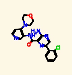 Nc1ncc(-c2ccccc2Cl)nc1C(=O)Nc1cnccc1N1CCOCC1